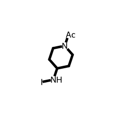 CC(=O)N1CCC(NI)CC1